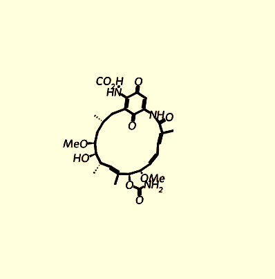 CO[C@H]1/C=C\C=C(/C)C(=O)NC2=CC(=O)C(NC(=O)O)=C(C[C@@H](C)C[C@H](OC)[C@H](O)[C@@H](C)/C=C(\C)[C@@H]1OC(N)=O)C2=O